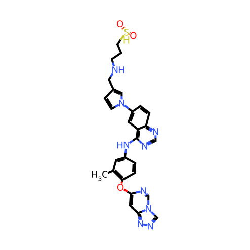 Cc1cc(Nc2ncnc3ccc(-n4ccc(CNCCC[SH](=O)=O)c4)cc23)ccc1Oc1cc2nncn2cn1